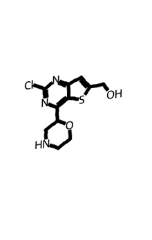 OCc1cc2nc(Cl)nc(C3CNCCO3)c2s1